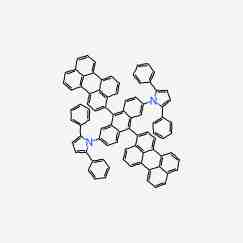 c1ccc(-c2ccc(-c3ccccc3)n2-c2ccc3c(-c4ccc5c6cccc7cccc(c8cccc4c85)c76)c4cc(-n5c(-c6ccccc6)ccc5-c5ccccc5)ccc4c(-c4ccc5c6cccc7cccc(c8cccc4c85)c76)c3c2)cc1